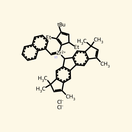 CCC1=[C](/[Zr+2](=[CH]\c2cccc3ccccc23)[CH]2c3cc4c(cc3-c3cc5c(cc32)C(C)(C)C=C5C)C(C)=CC4(C)C)C(CC)C=C1C(C)(C)C.[Cl-].[Cl-]